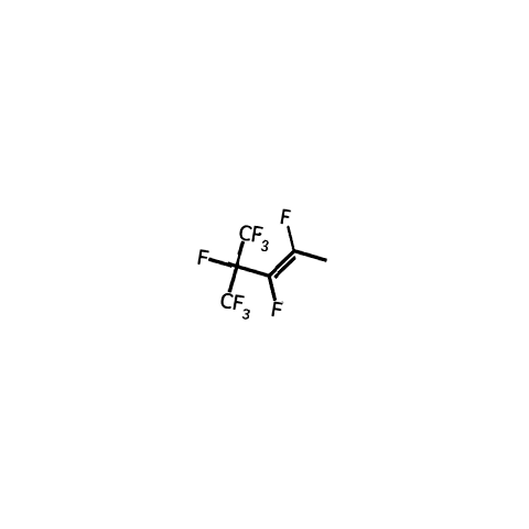 CC(F)=C(F)C(F)(C(F)(F)F)C(F)(F)F